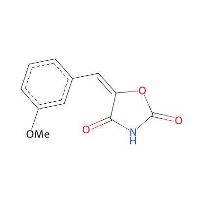 COc1cccc(C=C2OC(=O)NC2=O)c1